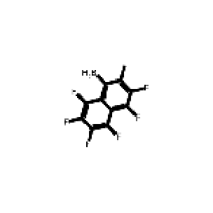 Bc1c(C)c(F)c(F)c2c(F)c(F)c(F)c(F)c12